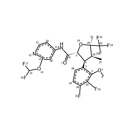 COc1c([C@H]2[C@H](C(=O)Nc3ccnc(OC(F)F)c3)O[C@@](C)(C(F)(F)F)[C@H]2C)ccc(F)c1F